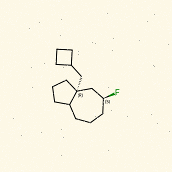 F[C@H]1CCCC2CCC[C@@]2(CC2CCC2)C1